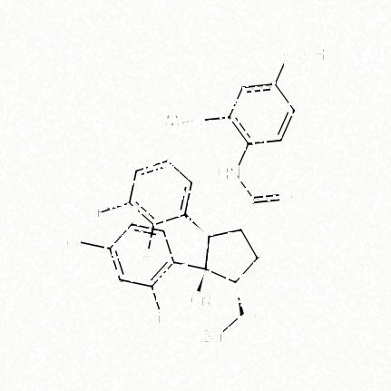 COc1cc(C(=O)O)ccc1NC(=O)[C@@H]1C[C@@H](CC(C)(C)C)[C@](C#N)(c2ccc(Cl)cc2F)[C@H]1c1cccc(Cl)c1F